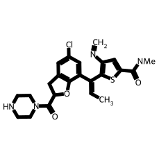 C=Nc1cc(C(=O)NC)sc1/C(=C\C)c1cc(Cl)cc2c1OC(C(=O)N1CCNCC1)C2